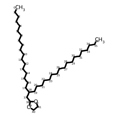 CCCCCCCCCCCCCCCCCCC(CCCCCCCCCCCCCCCCCC)CC1OCCO1